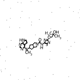 CN(c1ncnc2[nH]ccc12)C1CC2CN(C(=O)Nc3nc(OCC(C)(C)O)ns3)CC2C1